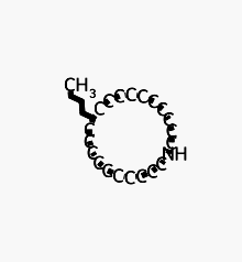 CCCCC1CCCCCCCCCCNCCCCCCCCCC1